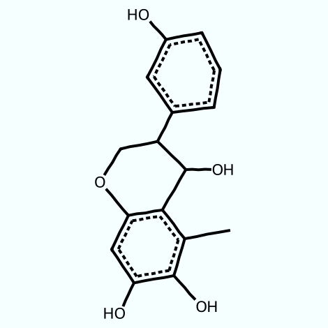 Cc1c(O)c(O)cc2c1C(O)C(c1cccc(O)c1)CO2